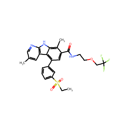 CCS(=O)(=O)c1cccc(-c2cc(C(=O)NCCOCC(F)(F)F)c(C)c3[nH]c4ncc(C)cc4c23)c1